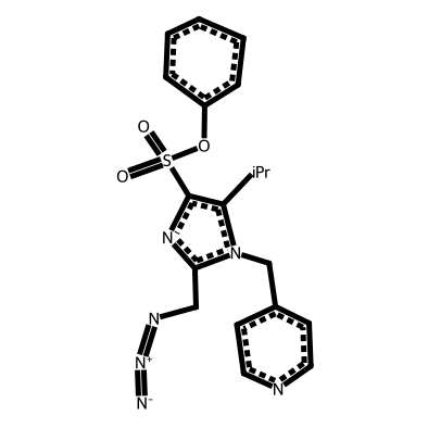 CC(C)c1c(S(=O)(=O)Oc2ccccc2)nc(CN=[N+]=[N-])n1Cc1ccncc1